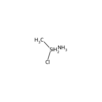 C[SiH2]Cl.N